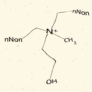 CCCCCCCCCC[N+](C)(CCO)CCCCCCCCCC